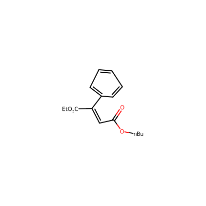 CCCCOC(=O)/C=C(/C(=O)OCC)c1ccccc1